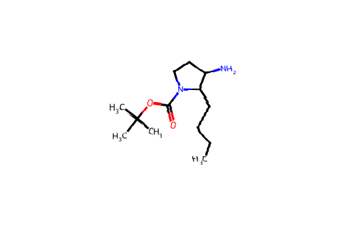 CCCCC1C(N)CCN1C(=O)OC(C)(C)C